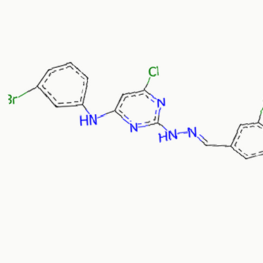 Clc1cccc(/C=N/Nc2nc(Cl)cc(Nc3cccc(Br)c3)n2)c1